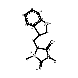 CN1C(=O)C(CC2CNc3ccccc32)N(C)C1=S